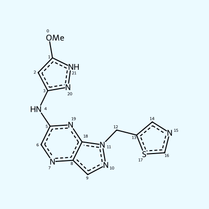 COc1cc(Nc2cnc3cnn(Cc4cncs4)c3n2)n[nH]1